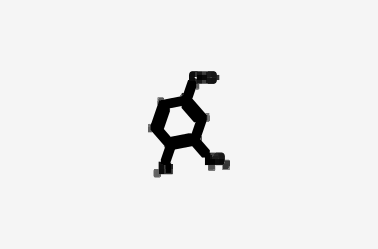 CCc1ccc([C]=O)cc1[N+](=O)[O-]